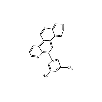 Cc1cc(-c2cc3c4ccccc4ccc3c3cccnc23)cc(C(F)(F)F)c1